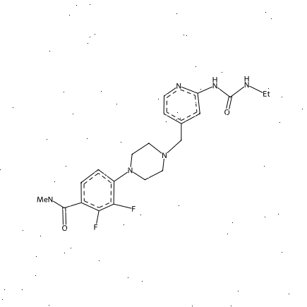 CCNC(=O)Nc1cc(CN2CCN(c3ccc(C(=O)NC)c(F)c3F)CC2)ccn1